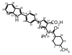 CC1CCC(C(=O)N(c2nn(-c3ccc(-c4cc5cccnc5[nH]4)cc3)cc2C(=O)O)C(C)C)CC1